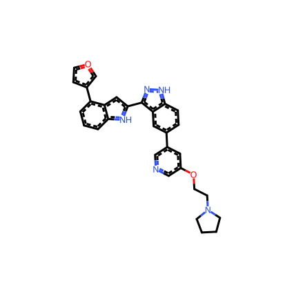 c1cc(-c2ccoc2)c2cc(-c3n[nH]c4ccc(-c5cncc(OCCN6CCCC6)c5)cc34)[nH]c2c1